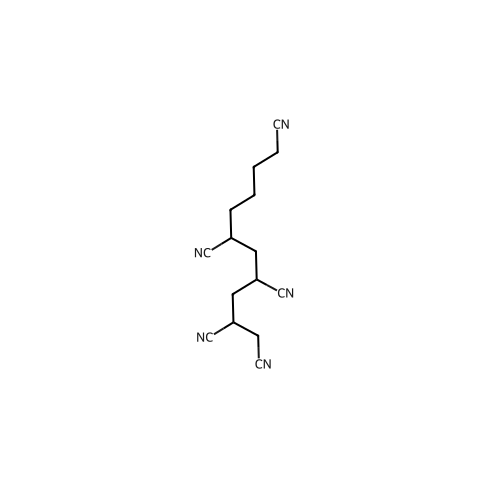 N#CCCCCC(C#N)CC(C#N)CC(C#N)CC#N